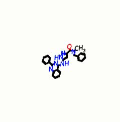 CN(Cc1ccccc1)C(=O)c1cc(Nc2nc(-c3ccccc3)nc3ccccc23)[nH]n1